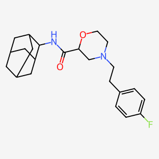 O=C(NC1C2CC3CC(C2)CC1C3)C1CN(CCc2ccc(F)cc2)CCO1